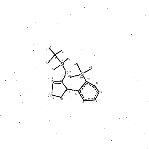 CC(C)(C)[Si](C)(C)OC1=NNCC1c1ccccc1[Si](C)(C)C